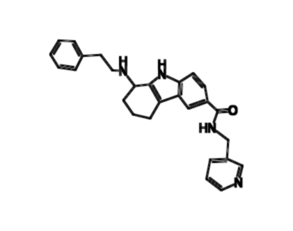 O=C(NCc1cccnc1)c1ccc2[nH]c3c(c2c1)CCCC3NCCc1ccccc1